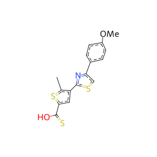 COc1ccc(-c2csc(-c3cc(C(O)=S)sc3C)n2)cc1